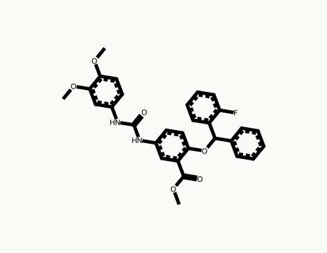 COC(=O)c1cc(NC(=O)Nc2ccc(OC)c(OC)c2)ccc1OC(c1ccccc1)c1ccccc1F